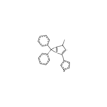 CC1[C]=C(c2ccsc2)C2=C1C2(c1ccccc1)c1ccccc1